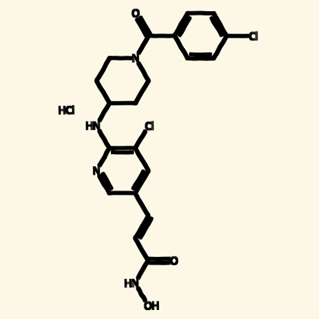 Cl.O=C(C=Cc1cnc(NC2CCN(C(=O)c3ccc(Cl)cc3)CC2)c(Cl)c1)NO